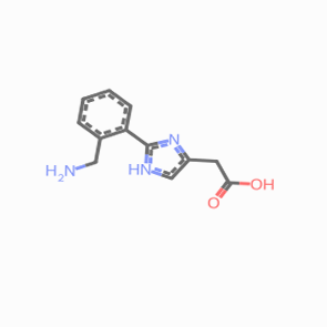 NCc1ccccc1-c1nc(CC(=O)O)c[nH]1